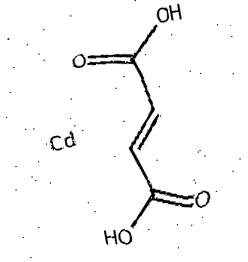 O=C(O)/C=C/C(=O)O.[Cd]